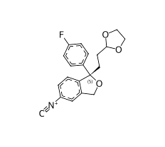 [C-]#[N+]c1ccc2c(c1)CO[C@@]2(CCC1OCCO1)c1ccc(F)cc1